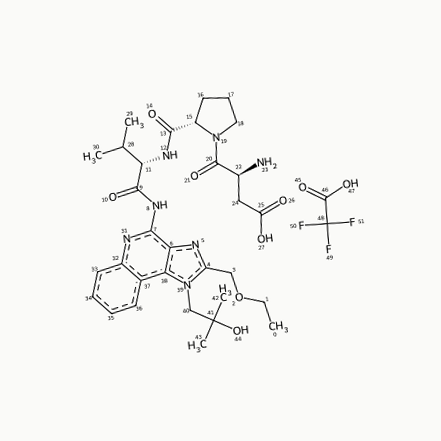 CCOCc1nc2c(NC(=O)[C@@H](NC(=O)[C@@H]3CCCN3C(=O)[C@@H](N)CC(=O)O)C(C)C)nc3ccccc3c2n1CC(C)(C)O.O=C(O)C(F)(F)F